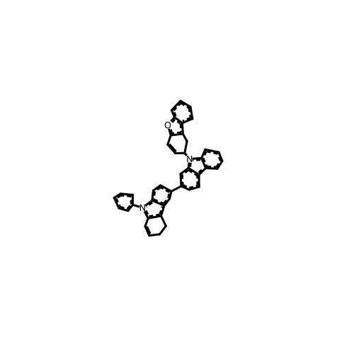 C1=Cc2c(c3cc(-c4ccc5c6ccccc6n(C6C=Cc7oc8ccccc8c7C6)c5c4)ccc3n2-c2ccccc2)CC1